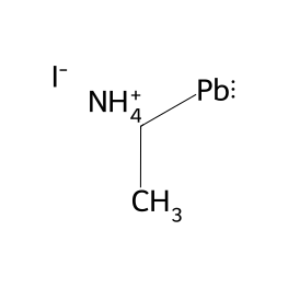 C[CH2][Pb].[I-].[NH4+]